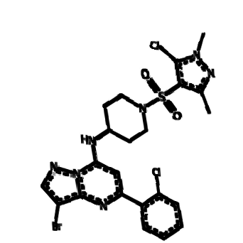 Cc1nn(C)c(Cl)c1S(=O)(=O)N1CCC(Nc2cc(-c3ccccc3Cl)nc3c(Br)cnn23)CC1